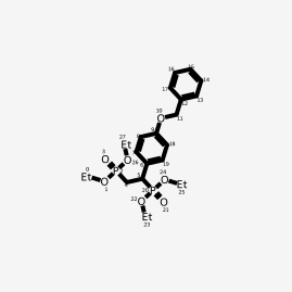 CCOP(=O)(CC(c1ccc(OCc2ccccc2)cc1)P(=O)(OCC)OCC)OCC